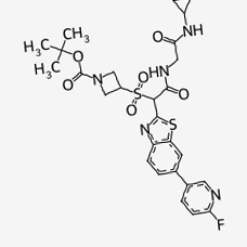 CC(C)(C)OC(=O)N1CC(S(=O)(=O)C(C(=O)NCC(=O)NC2CC2)c2nc3ccc(-c4ccc(F)nc4)cc3s2)C1